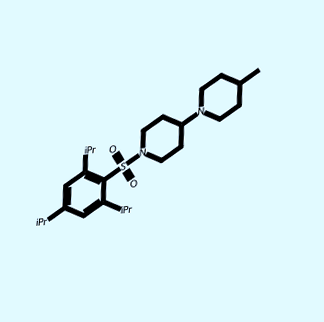 CC1CCN(C2CCN(S(=O)(=O)c3c(C(C)C)cc(C(C)C)cc3C(C)C)CC2)CC1